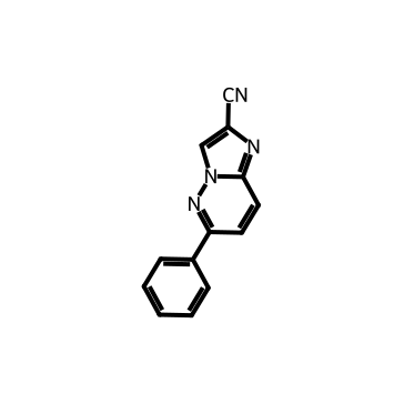 N#Cc1cn2nc(-c3ccccc3)ccc2n1